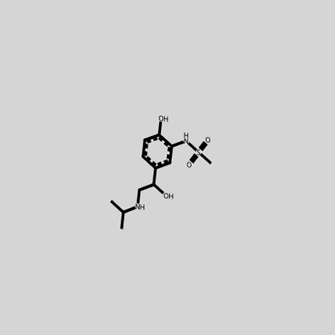 CC(C)NCC(O)c1ccc(O)c(NS(C)(=O)=O)c1